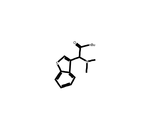 CCCCC(=O)C(c1csc2ccccc12)N(C)C